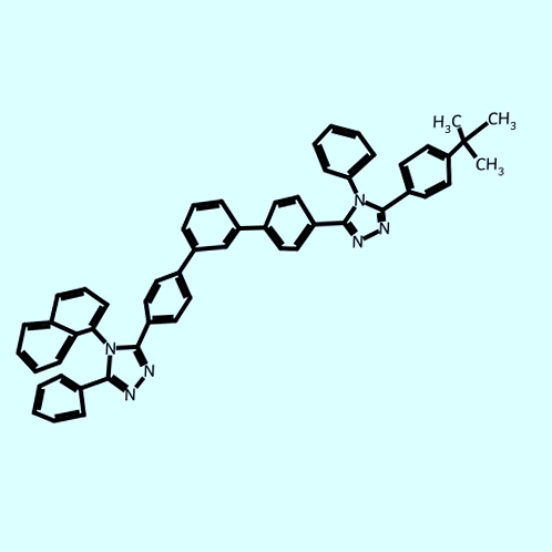 CC(C)(C)c1ccc(-c2nnc(-c3ccc(-c4cccc(-c5ccc(-c6nnc(-c7ccccc7)n6-c6cccc7ccccc67)cc5)c4)cc3)n2-c2ccccc2)cc1